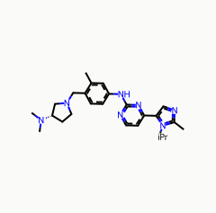 Cc1cc(Nc2nccc(-c3cnc(C)n3C(C)C)n2)ccc1CN1CC[C@H](N(C)C)C1